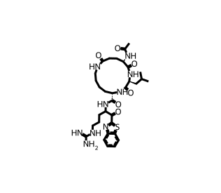 CC(=O)N[C@H]1CCC(=O)NCCCC[C@@H](C(=O)NC(CCCNC(=N)N)C(=O)c2nc3ccccc3s2)NC(=O)[C@H](CC(C)C)NC1=O